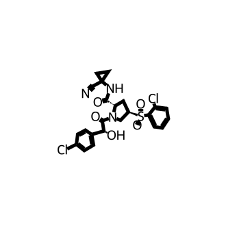 N#CC1(NC(=O)[C@@H]2C[C@@H](S(=O)(=O)c3ccccc3Cl)CN2C(=O)[C@H](O)c2ccc(Cl)cc2)CC1